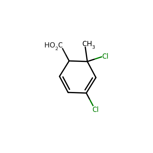 CC1(Cl)C=C(Cl)C=CC1C(=O)O